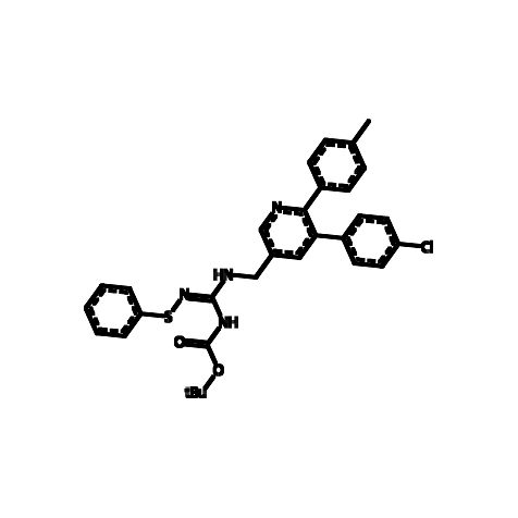 Cc1ccc(-c2ncc(CN/C(=N/Sc3ccccc3)NC(=O)OC(C)(C)C)cc2-c2ccc(Cl)cc2)cc1